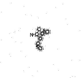 N#Cc1cc(-c2ccccc2)cc(-c2cc(-c3ccc4sc5ccccc5c4c3)ccc2-c2ccc3sc4ccccc4c3c2)c1